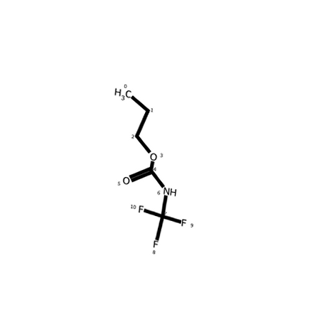 CCCOC(=O)NC(F)(F)F